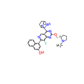 CN1CCC[C@H]1COc1nc(N2CC3CCC2CN3)c2cnc(-c3cc(O)cc4ccccc34)c(F)c2n1